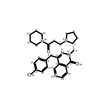 O=C(CCN1CCC[C@@H]1Cn1nc(Cc2ccc(Cl)cc2)c2cnccc2c1=O)N1CCCCC1